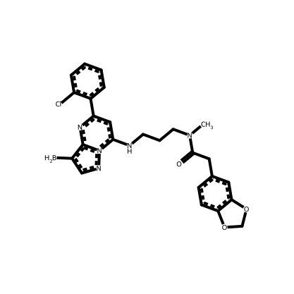 Bc1cnn2c(NCCCN(C)C(=O)Cc3ccc4c(c3)OCO4)cc(-c3ccccc3Cl)nc12